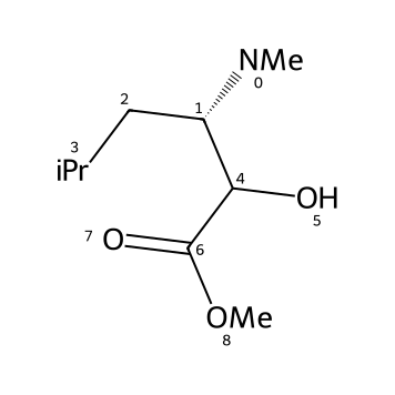 CN[C@@H](CC(C)C)C(O)C(=O)OC